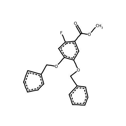 COC(=O)c1cc(OCc2ccccc2)c(OCc2ccccc2)cc1F